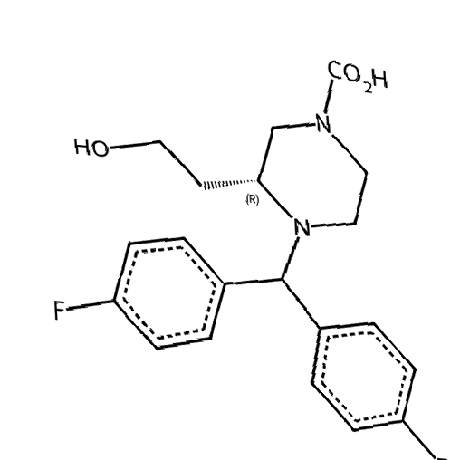 O=C(O)N1CCN(C(c2ccc(F)cc2)c2ccc(F)cc2)[C@H](CCO)C1